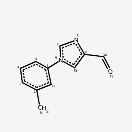 Cc1cccc(-n2cnc(C=O)c2)c1